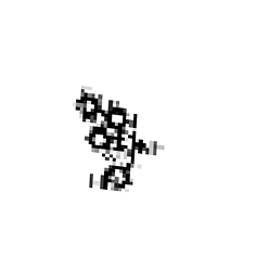 N=C1NC(c2ccccc2)(c2cccc(-c3cccnc3)c2)C(=O)N1CC1CCNCC1